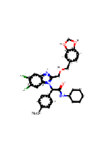 COc1ccc(C(C(=O)NC2CCCCC2)n2c(COCc3ccc4c(c3)OCO4)nc3cc(F)c(F)cc32)cc1